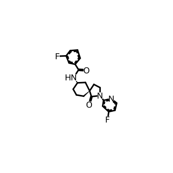 O=C(N[C@H]1CCC[C@]2(CCN(c3cc(F)ccn3)C2=O)C1)c1cccc(F)c1